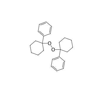 c1ccc(C2(OOC3(c4ccccc4)CCCCC3)CCCCC2)cc1